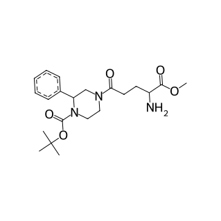 COC(=O)C(N)CCC(=O)N1CCN(C(=O)OC(C)(C)C)C(c2ccccc2)C1